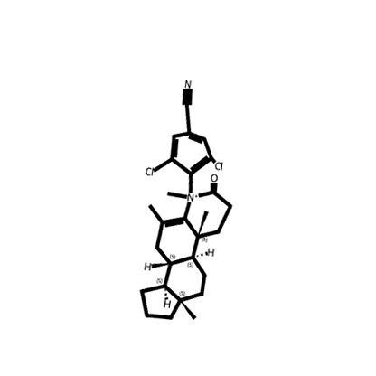 CC1=C2[C@](C)(CCC(=O)[N+]2(C)c2c(Cl)cc(C#N)cc2Cl)[C@H]2CC[C@]3(C)CCC[C@H]3[C@@H]2C1